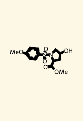 COC(=O)C1CC(O)CN1S(=O)(=O)c1ccc(OC)cc1